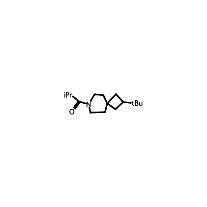 CC(C)C(=O)N1CCC2(CC1)CC(C(C)(C)C)C2